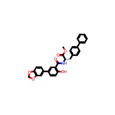 COC(=O)[C@H](Cc1ccc(-c2ccccc2)cc1)NC(=O)c1cc(-c2ccc3c(c2)OCO3)ccc1O